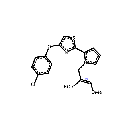 CO/C=C(/Cn1cccc1-c1nc(Oc2ccc(Cl)cc2)cs1)C(=O)O